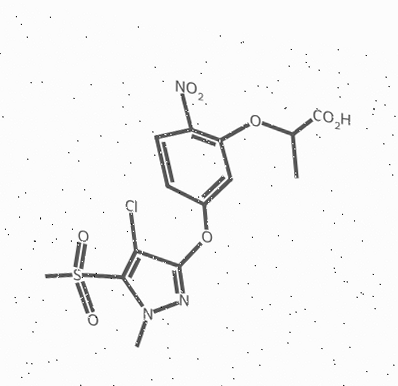 CC(Oc1cc(Oc2nn(C)c(S(C)(=O)=O)c2Cl)ccc1[N+](=O)[O-])C(=O)O